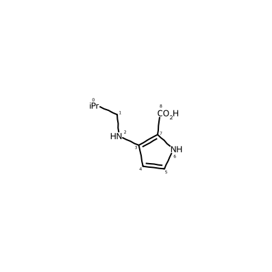 CC(C)CNc1cc[nH]c1C(=O)O